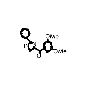 COc1cc(OC)cc(C(=O)c2c[nH]c(-c3ccccc3)n2)c1